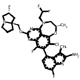 C[C@H]1CN(CC(F)F)c2nc(OC[C@@]34CCCN3C[C@H](F)C4)nc3c(F)c(-c4ccc(F)c5sc(N)c(C#N)c45)c(Cl)c(c23)O1